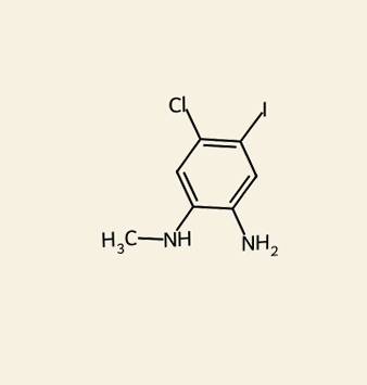 CNc1cc(Cl)c(I)cc1N